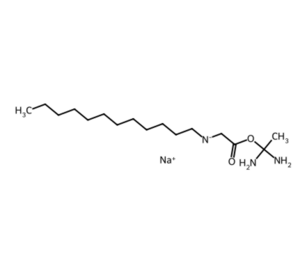 CCCCCCCCCCCC[N-]CC(=O)OC(C)(N)N.[Na+]